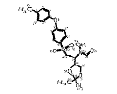 Cc1ccc(Oc2ccc(S(=O)(=O)C[C@H]([C@H]3COC(C)(C)O3)N(O)C=O)cc2)cc1